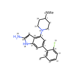 CNC1CCN(c2cc(-c3c(C)cccc3F)cc3[nH]c(N)cc23)CC1